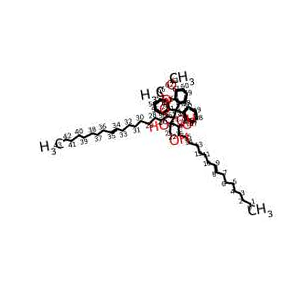 CCCCCCCCC=CCCCCCCCC(=O)C(O)(CO)C(O)(C(=O)CCCCCCCC=CCCCCCCCC)C(c1ccccc1)(c1ccccc1)c1cccc(OC)c1OC